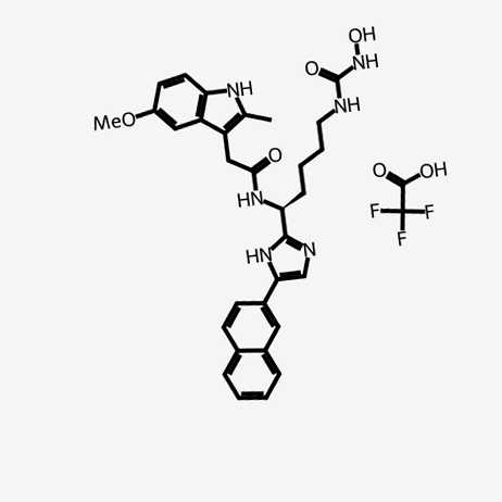 COc1ccc2[nH]c(C)c(CC(=O)N[C@@H](CCCCNC(=O)NO)c3ncc(-c4ccc5ccccc5c4)[nH]3)c2c1.O=C(O)C(F)(F)F